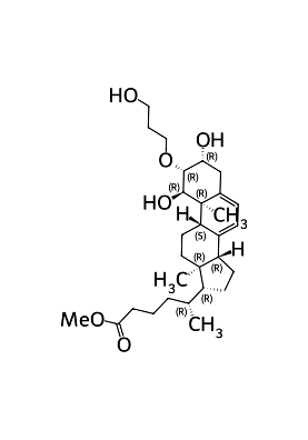 COC(=O)CCC[C@@H](C)[C@H]1CC[C@H]2C3=CC=C4C[C@@H](O)[C@@H](OCCCO)[C@H](O)[C@]4(C)[C@H]3CC[C@]12C